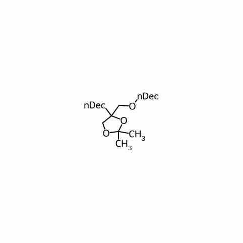 CCCCCCCCCCOCC1(CCCCCCCCCC)COC(C)(C)O1